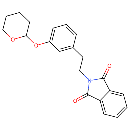 O=C1c2ccccc2C(=O)N1CCc1cccc(OC2CCCCO2)c1